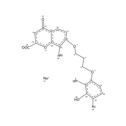 CCCc1c(OCCCOc2ccc3c(=O)cc(C(=O)[O-])oc3c2CCC)ccc(C(C)=O)c1O.[Na+]